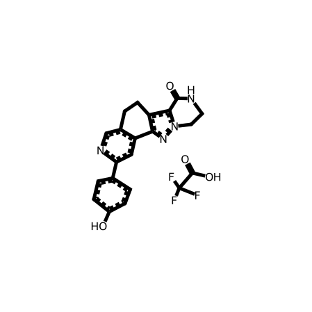 O=C(O)C(F)(F)F.O=C1NCCn2nc3c(c21)CCc1cnc(-c2ccc(O)cc2)cc1-3